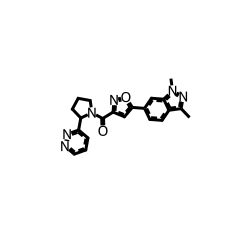 Cc1nn(C)c2cc(-c3cc(C(=O)N4CCCC4c4cccnn4)no3)ccc12